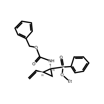 C=C[C@@H]1C[C@]1(NC(=O)OCc1ccccc1)P(=O)(OCC)c1ccccc1